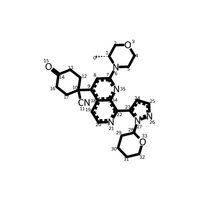 C[C@@H]1COCCN1c1cc(C2(C#N)CCC(=O)CC2)c2ccnc(-c3ccnn3C3CCCCO3)c2n1